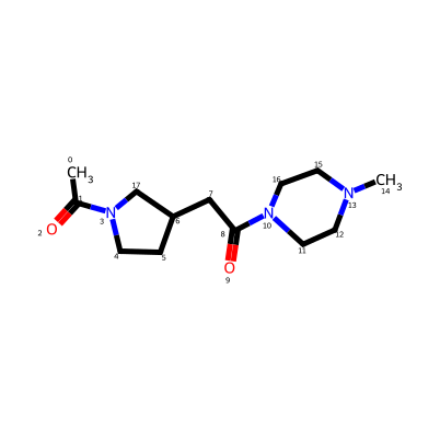 CC(=O)N1CCC(CC(=O)N2CCN(C)CC2)C1